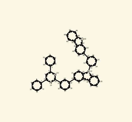 c1ccc(-c2cc(-c3ccccc3)nc(-c3cccc(-c4ccc5c(c4)c4ccccc4n5-c4cccc(-c5ccc6c(c5)oc5ccccc56)c4)c3)n2)cc1